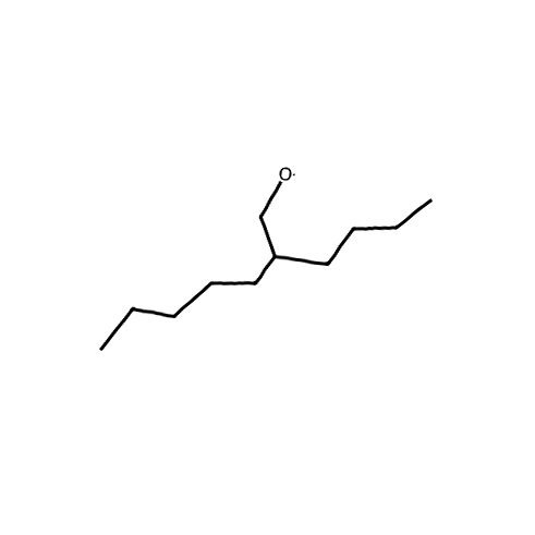 CCCCCC(C[O])CCCC